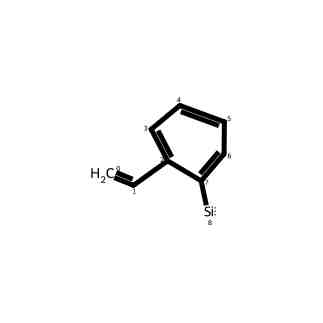 C=Cc1ccccc1[Si]